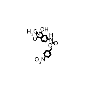 CN1C(=O)c2ccc(NC(=O)OCc3ccc([N+](=O)[O-])cc3)cc2C1O